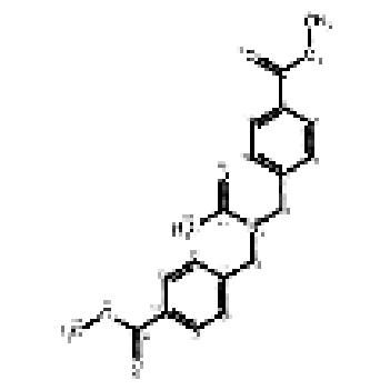 COC(=O)c1ccc(CN(Cc2ccc(C(=O)OC)cc2)C(C)=O)cc1